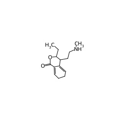 CCC1OC(=O)C2=CCCC=C2C1CCNC